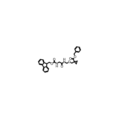 O=C(CNC(=O)OCC1c2ccccc2-c2ccccc21)NCOCC1(C(=O)OCc2ccccc2)CC1